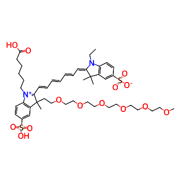 CCN1/C(=C/C=C/C=C/C=C/C2=[N+](CCCCCC(=O)O)c3ccc(S(=O)(=O)O)cc3C2(C)CCOCCOCCOCCOCCOCCOC)C(C)(C)c2cc(S(=O)(=O)[O-])ccc21